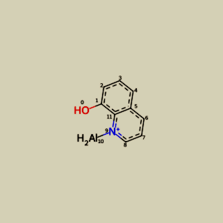 Oc1cccc2ccc[n+]([AlH2])c12